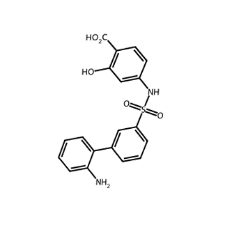 Nc1ccccc1-c1cccc(S(=O)(=O)Nc2ccc(C(=O)O)c(O)c2)c1